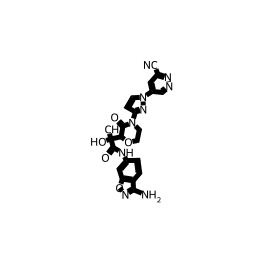 CC(O)(C(=O)Nc1ccc2c(N)noc2c1)C1OCCN(c2ccn(-c3cnnc(C#N)c3)n2)C1=O